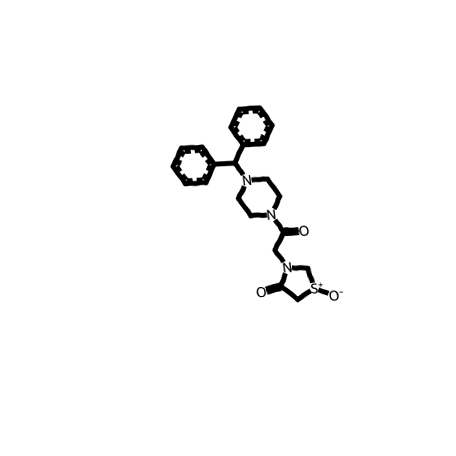 O=C(CN1C[S+]([O-])CC1=O)N1CCN(C(c2ccccc2)c2ccccc2)CC1